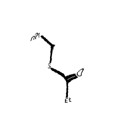 CCCCSC(=O)CC